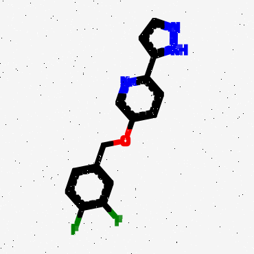 Fc1ccc(COc2ccc(-c3ccn[nH]3)nc2)cc1F